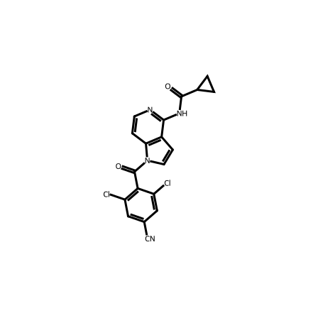 N#Cc1cc(Cl)c(C(=O)n2ccc3c(NC(=O)C4CC4)nccc32)c(Cl)c1